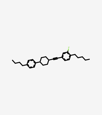 CCCCCc1ccc(C#CC2CCC(c3ccc(CCCC)cc3)CC2)cc1F